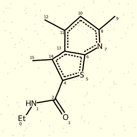 CCNC(=O)c1sc2nc(C)cc(C)c2c1C